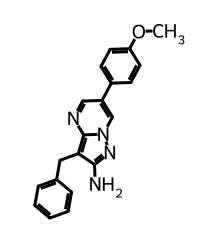 COc1ccc(-c2cnc3c(Cc4ccccc4)c(N)nn3c2)cc1